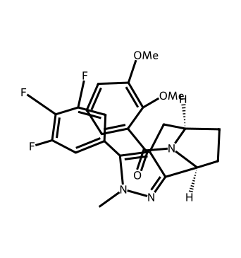 COc1cccc(C(=O)N2[C@@H]3CC[C@H]2c2nn(C)c(-c4cc(F)c(F)c(F)c4)c2C3)c1OC